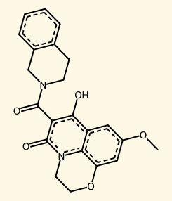 COc1cc2c3c(c1)c(O)c(C(=O)N1CCc4ccccc4C1)c(=O)n3CCO2